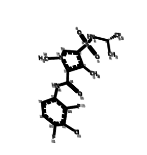 Cc1c(S(=O)(=O)N[C@@H](C)C(F)(F)F)cn(C)c1C(=O)Nc1ccc(F)c(Cl)c1F